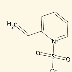 C=Cc1cccc[n+]1S(=O)(=O)[O-]